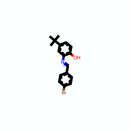 CC(C)(C)c1ccc(O)c(/N=C/c2ccc(Br)cc2)c1